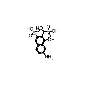 Nc1ccc2cc(S(=O)(=O)O)c(C(O)S(=O)(=O)O)c(O)c2c1